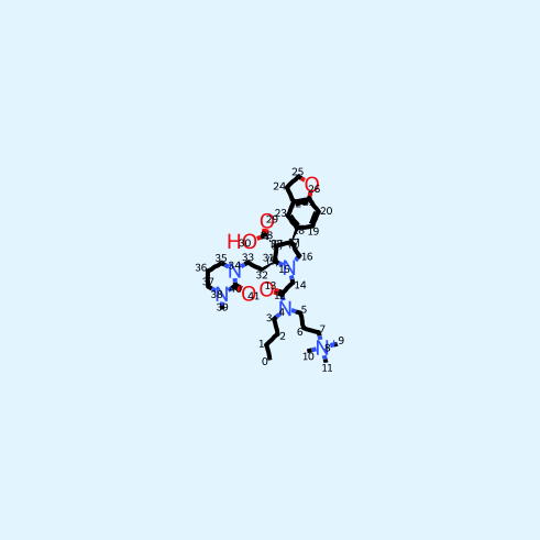 CCCCN(CCC[N+](C)(C)C)C(=O)CN1C[C@H](c2ccc3c(c2)CCO3)[C@@H](C(=O)O)[C@@H]1CCN1CCCN(C)C1=O